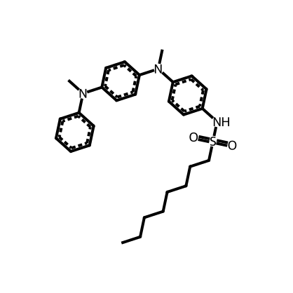 CCCCCCCCS(=O)(=O)Nc1ccc(N(C)c2ccc(N(C)c3ccccc3)cc2)cc1